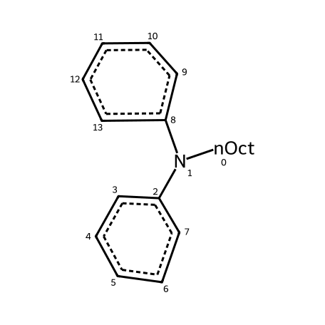 CCCCCCCCN(c1ccccc1)c1ccccc1